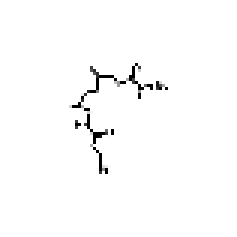 CCCCNC(=O)CCC(C)CCC(C)CNC(=O)CCC(C)C